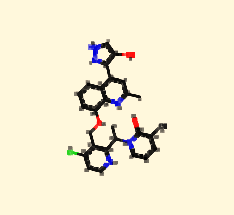 Cc1cc(-c2n[nH]cc2O)c2cccc(OCc3c(Cl)ccnc3C(C)n3cccc(C#N)c3=O)c2n1